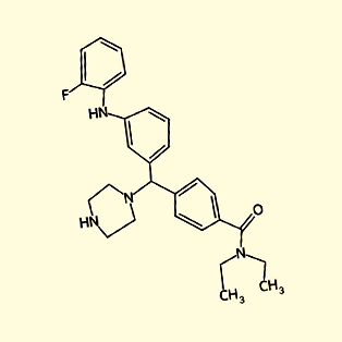 CCN(CC)C(=O)c1ccc(C(c2cccc(Nc3ccccc3F)c2)N2CCNCC2)cc1